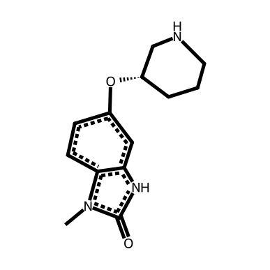 Cn1c(=O)[nH]c2cc(O[C@H]3CCCNC3)ccc21